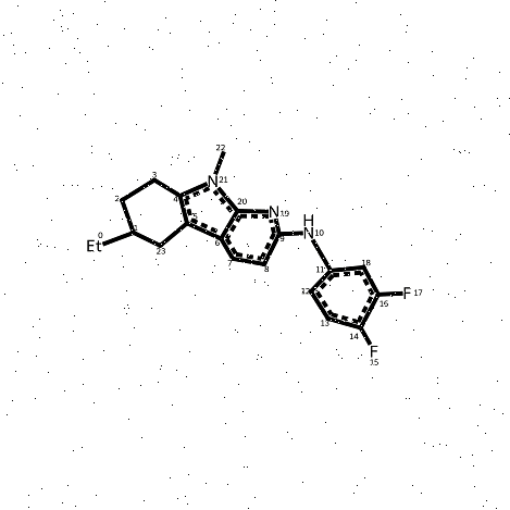 CCC1CCc2c(c3ccc(Nc4ccc(F)c(F)c4)nc3n2C)C1